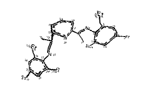 CCc1cc(CC)c(N=C(C)c2cccc(C(C)=Nc3c(CC)cc(CC)cc3CC)n2)c(CC)c1